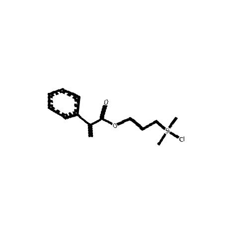 C=C(C(=O)OCCC[Si](C)(C)Cl)c1ccccc1